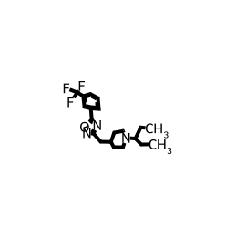 CCC(CC)N1CCC(Cc2noc(-c3cccc(C(F)(F)F)c3)n2)CC1